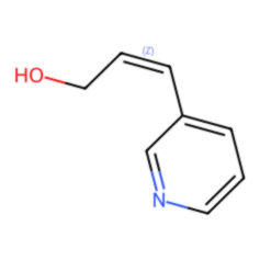 OC/C=C\c1cccnc1